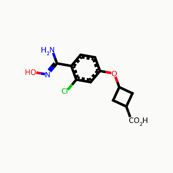 N/C(=N\O)c1ccc(OC2CC(C(=O)O)C2)cc1Cl